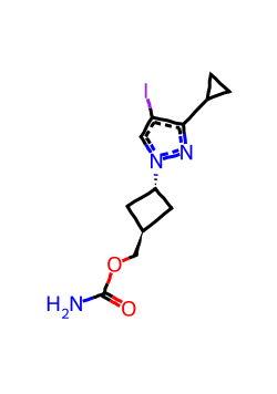 NC(=O)OC[C@H]1C[C@H](n2cc(I)c(C3CC3)n2)C1